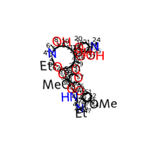 CC[C@@H]1CN(C)[C@@H](C)[C@@H](O)[C@H](C)C[C@](C)(O)[C@H](O[C@@H]2O[C@H](C)C[C@H](N(C)C)[C@H]2O)[C@@H](C)[C@H](O[C@H]2C[C@@](C)(OC)[C@@H](OC(=O)NCCN(CC)[C@@H](C)c3ccccc3OC)[C@H](C)O2)[C@@H](C)C(=O)O1